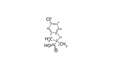 CC(C)(Cc1ccc(Cl)cc1)C(=O)O